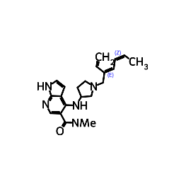 C=C/C(=C\C=C/C)CN1CCC(Nc2c(C(=O)NC)cnc3[nH]ccc23)C1